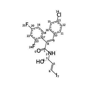 O=C(N[C@@H](O)/C=C/I)/C(=C/c1ccc(Cl)cc1)c1ccc(F)cc1F